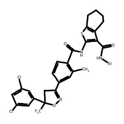 CCNC(=O)c1c(NC(=O)c2ccc(C3=NOC(c4cc(Cl)cc(Cl)c4)(C(F)(F)F)C3)cc2C)sc2c1CCCC2